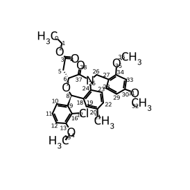 CCOC(=O)C[C@H]1O[C@H](c2cccc(OC)c2Cl)c2cc(C)ccc2N(Cc2ccc(OC)cc2OC)C1=O